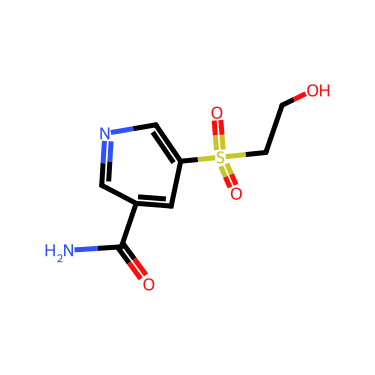 NC(=O)c1cncc(S(=O)(=O)CCO)c1